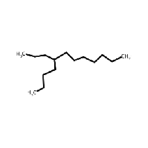 [CH2]CCCCCCC(CCC)CCCC